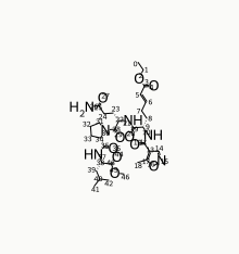 CCOC(=O)C=CCC[C@H](NC(=O)c1cnoc1C)C(=O)N[C@@H](CCC(N)=O)C(=O)N1CCC[C@H]1C(=O)N[C@@H](CC(C)C)C(=O)OC